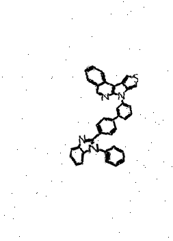 c1ccc(-n2c(-c3ccc(-c4cccc(-n5c6cscc6c6c7ccccc7cnc65)c4)cc3)nc3ccccc32)cc1